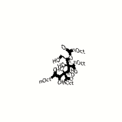 CCCCCCCCC(=O)O[C@H](CO)[C@](O)(C(=O)CCCCCCCC)[C@H](O)[C@](O)(C(=O)CCCCCCCC)C(O)C(=O)CCCCCCCC